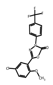 COc1ccc(Cl)cc1-c1nn(-c2ccc(C(F)(F)F)cc2)c(=O)o1